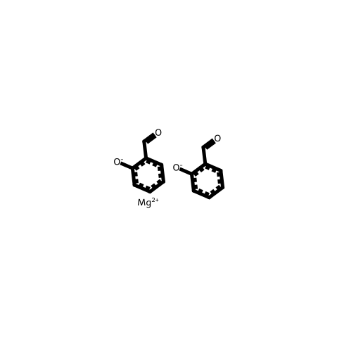 O=Cc1ccccc1[O-].O=Cc1ccccc1[O-].[Mg+2]